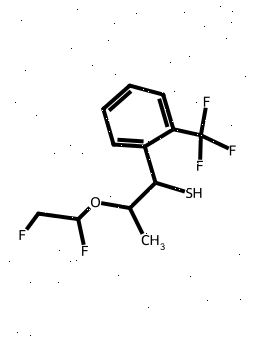 CC(OC(F)CF)C(S)c1ccccc1C(F)(F)F